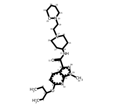 CCC(CC)Oc1ccc2c(C(=O)NC3CCN(CCN4CCCCO4)CC3)nn(C)c2n1